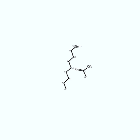 CC(=O)[O-].CCCCCCC[CH2][Sn+]